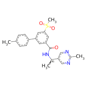 Cc1ccc(-c2cc(C(=O)N[C@H](C)c3cnc(C)nc3)cc(S(C)(=O)=O)c2)cc1